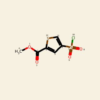 COC(=O)c1cc(S(=O)(=O)Cl)cs1